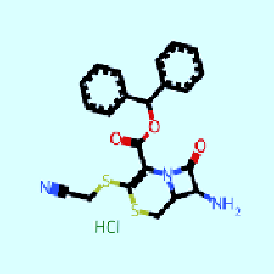 Cl.N#CCSC1=C(C(=O)OC(c2ccccc2)c2ccccc2)N2C(=O)C(N)C2CS1